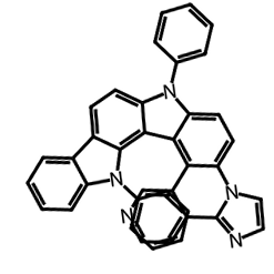 c1ccc(-n2c3ccc4c(c5cnccc5c5nccn45)c3c3c2ccc2c4ccccc4n(-c4ccccc4)c23)cc1